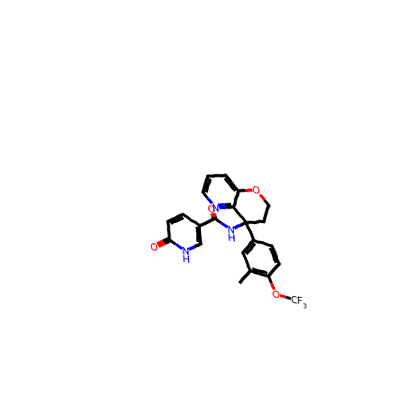 Cc1cc(C2(NC(=O)c3ccc(=O)[nH]c3)CCOc3cccnc32)ccc1OC(F)(F)F